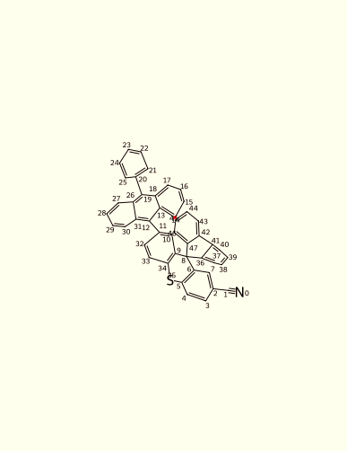 N#Cc1ccc2c(c1)C1(c3cc(-c4c5ccccc5c(-c5ccccc5)c5ccccc45)ccc3S2)c2ccccc2-c2ccccc21